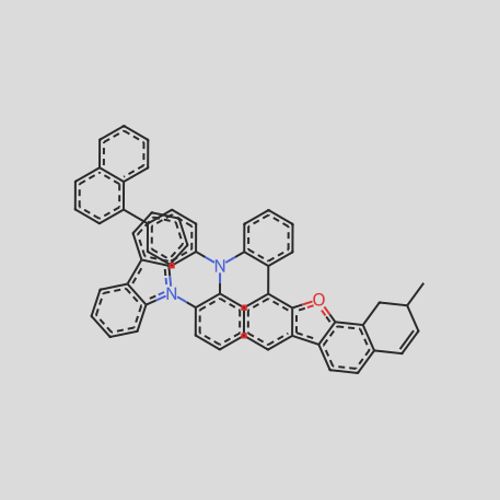 CC1C=Cc2ccc3c(oc4c(-c5ccccc5N(c5ccc(-c6cccc7ccccc67)cc5)c5ccccc5-n5c6ccccc6c6ccccc65)cccc43)c2C1